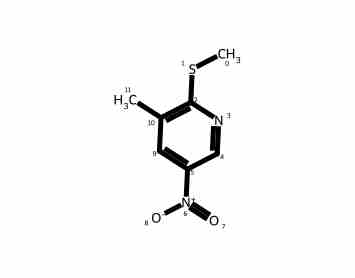 CSc1ncc([N+](=O)[O-])cc1C